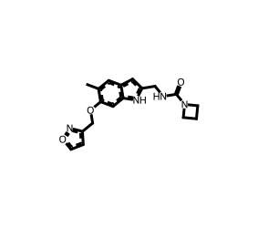 Cc1cc2cc(CNC(=O)N3CCC3)[nH]c2cc1OCc1ccon1